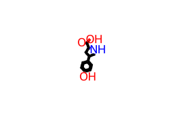 O=C(O)C1CC(c2ccc(O)cc2)CN1